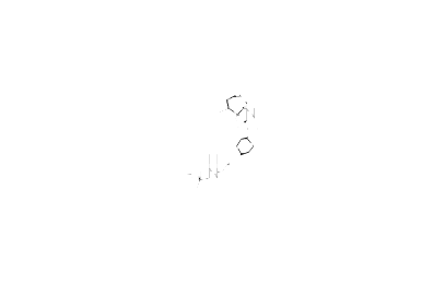 COC(C)CNCCOc1ccc(Oc2nc3nccc(C)c3s2)cc1